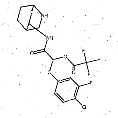 O=C(NC1CC2CCC1CN2)C(OC(=O)C(F)(F)F)Oc1ccc(Cl)c(F)c1